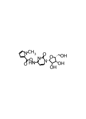 Cn1cccc1C(=O)ONc1ccn([C@@H]2O[C@H](CO)[C@@H](O)[C@H]2O)c(=O)n1